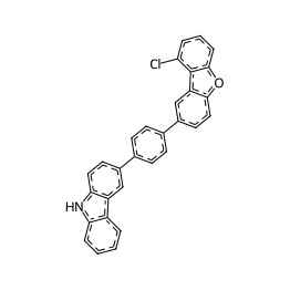 Clc1cccc2oc3ccc(-c4ccc(-c5ccc6[nH]c7ccccc7c6c5)cc4)cc3c12